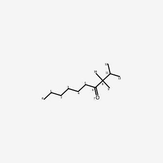 CCCCCCC(=O)C(C)(C)C(C)C